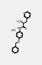 Cl.NC(Cc1cccnc1)C(=O)Nc1ccc(SCc2ccccc2)cc1